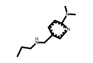 CCCNCc1ccc(N(C)C)nc1